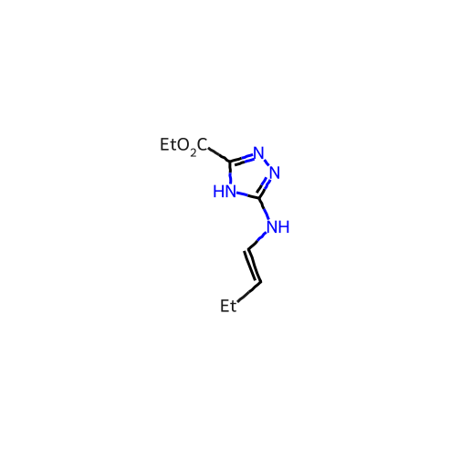 CC/C=C/Nc1nnc(C(=O)OCC)[nH]1